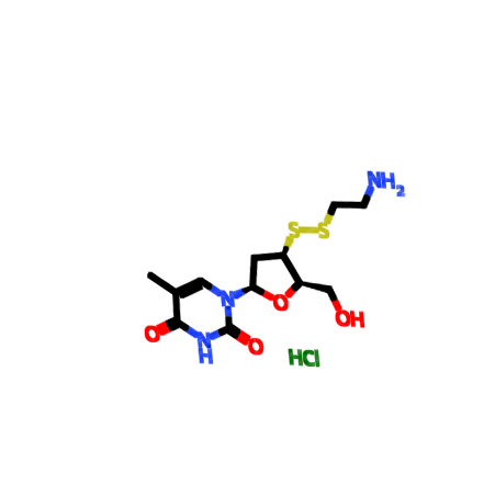 Cc1cn([C@H]2C[C@@H](SSCCN)[C@@H](CO)O2)c(=O)[nH]c1=O.Cl